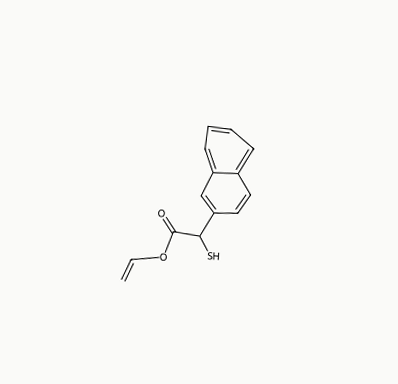 C=COC(=O)C(S)c1ccc2ccccc2c1